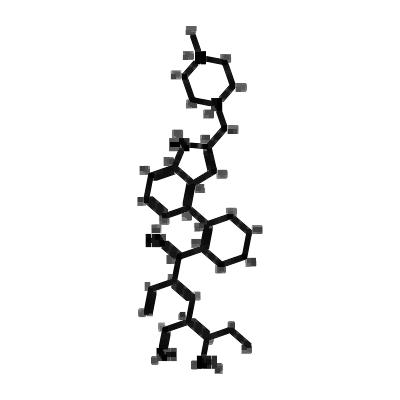 C=C/C(=C\C(C=N)=C(\N)CC)C(=N)C1=C(c2cccc3[nH]c(CN4CCN(C)CC4)cc23)CCCC1